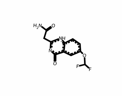 NC(=O)Cc1nc(=O)c2cc(OC(F)F)ccc2[nH]1